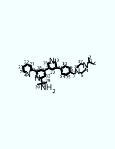 CC(C)N1CCN(Cc2ccc(-c3cncc(-c4cc(-c5ccccn5)nc(C(C)(C)N)c4)c3)cc2)CC1